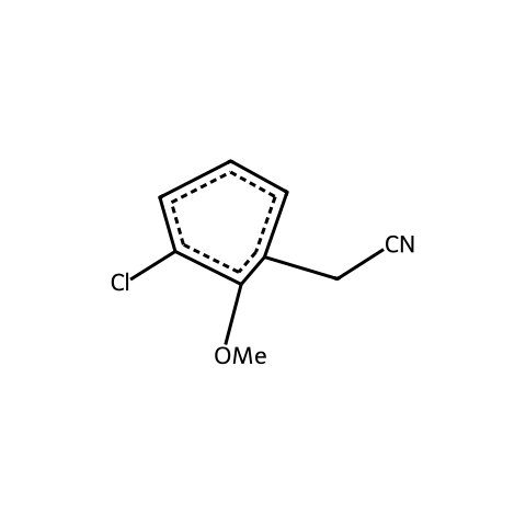 COc1c(Cl)cccc1CC#N